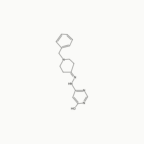 Oc1cc(NN=C2CCN(Cc3ccccc3)CC2)ncn1